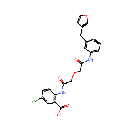 O=C(COCC(=O)Nc1ccc(Cl)cc1C(=O)O)Nc1cccc(Cc2ccoc2)c1